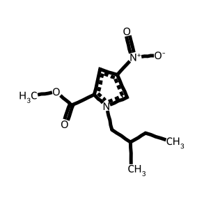 CCC(C)Cn1cc([N+](=O)[O-])cc1C(=O)OC